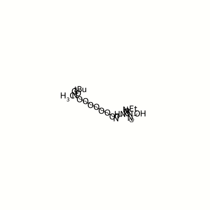 CCc1cnn2c(NCc3ccc(OCCOCCOCCOCCOCCOCCOCCN(C)C(=O)OC(C)(C)C)nc3)cc(N3CCCC[C@H]3CCO)nc12